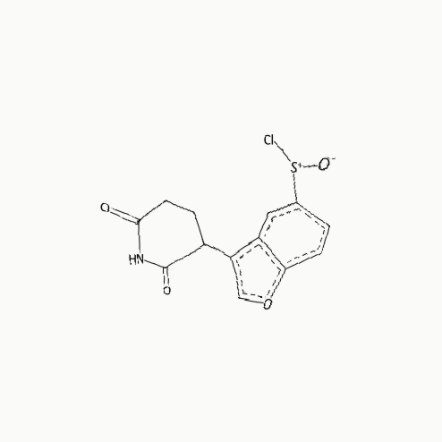 O=C1CCC(c2coc3ccc([S+]([O-])Cl)cc23)C(=O)N1